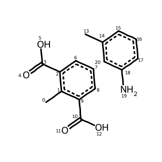 Cc1c(C(=O)O)cccc1C(=O)O.Cc1cccc(N)c1